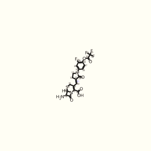 N[C@@H]1C(=O)N2C(C(=O)O)=C(/C=C3\CCN(c4ccc(OC(=O)C(F)(F)F)c(F)c4)C3=O)CS[C@H]12